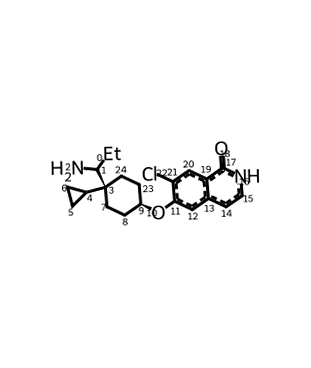 CCC(N)[C@]1(C2CC2)CC[C@H](Oc2cc3cc[nH]c(=O)c3cc2Cl)CC1